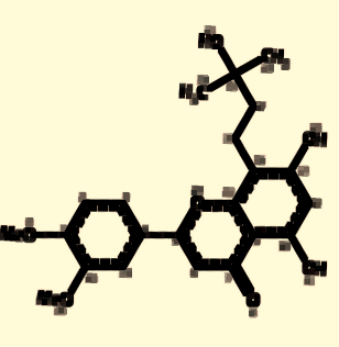 COc1ccc(-c2cc(=O)c3c(O)cc(O)c(CCC(C)(C)O)c3o2)cc1OC